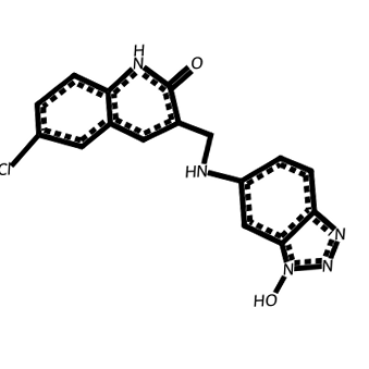 O=c1[nH]c2ccc(Cl)cc2cc1CNc1ccc2nnn(O)c2c1